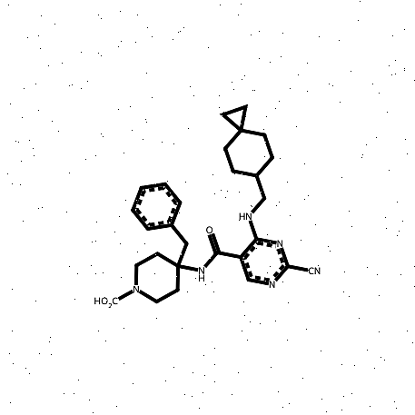 N#Cc1ncc(C(=O)NC2(Cc3ccccc3)CCN(C(=O)O)CC2)c(NCC2CCC3(CC2)CC3)n1